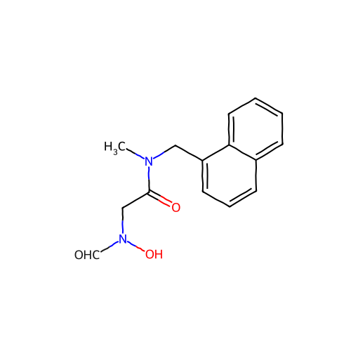 CN(Cc1cccc2ccccc12)C(=O)CN(O)C=O